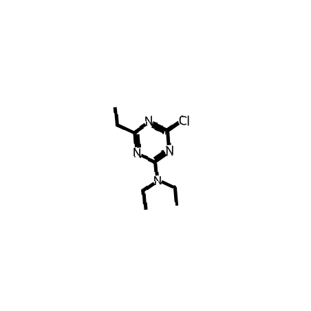 CCc1nc(Cl)nc(N(CC)CC)n1